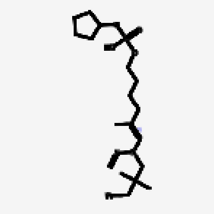 C=NN(/C=C(\C)CCCCOP(=O)(O)OC1CCCC1)CC(C)(C)CC(C)C